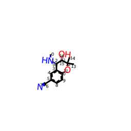 CN[C@@H]1c2cc(C#N)ccc2OC(C)(C)[C@H]1O